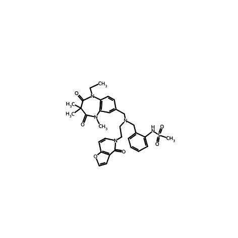 CCN1C(=O)C(C)(C)C(=O)N(C)c2cc(CN(CCn3ccc4occc4c3=O)Cc3ccccc3NS(C)(=O)=O)ccc21